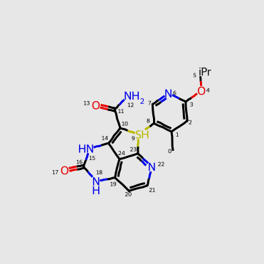 Cc1cc(OC(C)C)ncc1[SH]1C(C(N)=O)=C2NC(=O)Nc3ccnc1c32